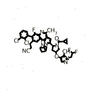 Cc1nc2c(F)c(-c3cccc(Cl)c3Cl)c(CCC#N)cc2c2c1cc(C1CC(Oc3cnn(CC(F)F)c3C)CN1C(=O)C1CC1)n2C1C2CNC1C2